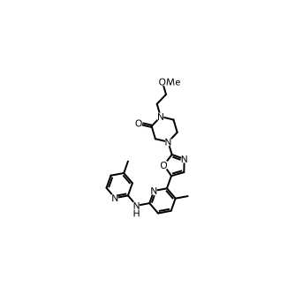 COCCN1CCN(c2ncc(-c3nc(Nc4cc(C)ccn4)ccc3C)o2)CC1=O